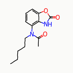 CCCCCN(C(C)=O)c1cccc2oc(=O)[nH]c12